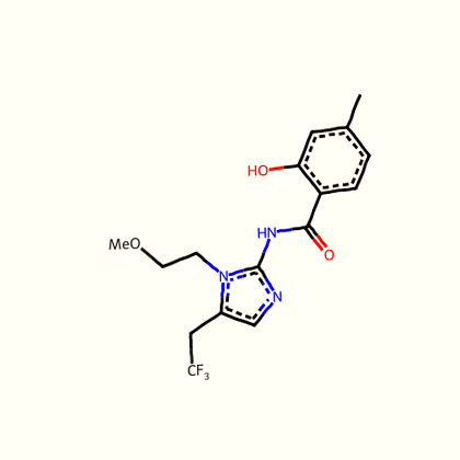 COCCn1c(CC(F)(F)F)cnc1NC(=O)c1ccc(C)cc1O